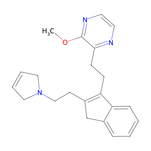 COc1nccnc1CCC1=C(CCN2CC=CC2)Cc2ccccc21